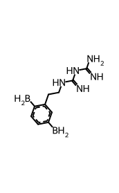 Bc1ccc(B)c(CCNC(=N)NC(=N)N)c1